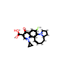 O=C(O)c1cn(C2CC2)c2c3c(c(F)cc2c1=O)N1CCCC1CC/C=C\3